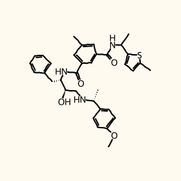 COc1ccc([C@@H](C)NC[C@@H](O)[C@H](Cc2ccccc2)NC(=O)c2cc(C)cc(C(=O)NC(C)c3ccc(C)s3)c2)cc1